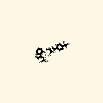 Cc1oc(-c2ccc(C(F)(F)F)cc2)nc1COc1cccc2scc(CC(=O)O)c12